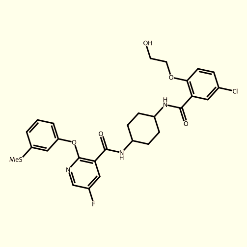 CSc1cccc(Oc2ncc(F)cc2C(=O)NC2CCC(NC(=O)c3cc(Cl)ccc3OCCO)CC2)c1